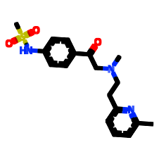 Cc1cccc(CCN(C)CC(=O)c2ccc(NS(C)(=O)=O)cc2)n1